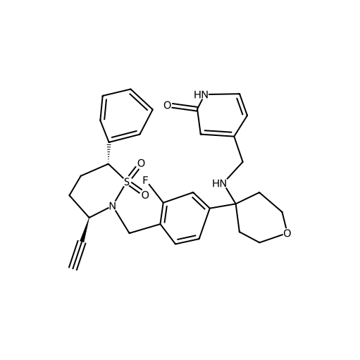 C#C[C@H]1CC[C@H](c2ccccc2)S(=O)(=O)N1Cc1ccc(C2(NCc3cc[nH]c(=O)c3)CCOCC2)cc1F